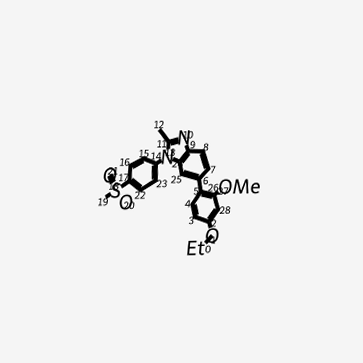 CCOc1ccc(-c2ccc3nc(C)n(-c4ccc(S(C)(=O)=O)cc4)c3c2)c(OC)c1